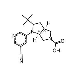 CC(C)(C)C1C[C@H]2CN(C(=O)O)C[C@H]2N1c1cncc(C#N)c1